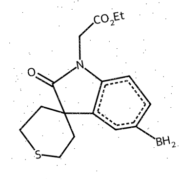 Bc1ccc2c(c1)C1(CCSCC1)C(=O)N2CC(=O)OCC